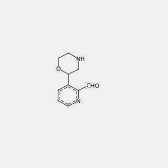 O=Cc1ncccc1C1CNCCO1